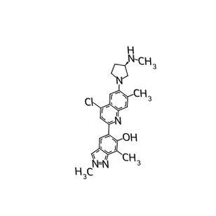 CN[C@@H]1CCN(c2cc3c(Cl)cc(-c4cc5cn(C)nc5c(C)c4O)nc3cc2C)C1